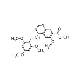 COC(=O)c1cc2ncnc(NCc3c(OC)cc(OC)cc3OC)c2cc1OC